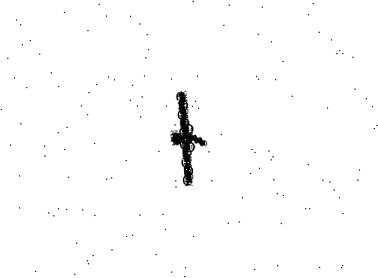 CCCCCc1cc(OC(=O)COCCOCCOCCOC)c([C@@H]2C=C(C)CCC2)c(OC(=O)COCCOCCOCCOC)c1